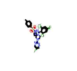 Cc1ccc(S(=O)(=O)N/N=C(/c2c(Cl)cc(F)cc2Cl)N2CCN(c3ncc(F)cn3)CC23CCC3)cc1